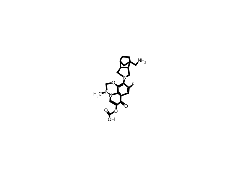 CN1COc2c(N3CC4C5CCC(CN)(C5)C4C3)c(F)cc3c(=O)c(OC(=O)O)cn1c23